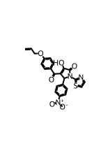 C=CCOc1ccc(C(=O)C2=C(O)C(=O)N(c3nccs3)C2c2ccc([N+](=O)[O-])cc2)cc1